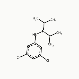 CC(C)N(Bc1cc(Cl)cc(Cl)c1)C(C)C